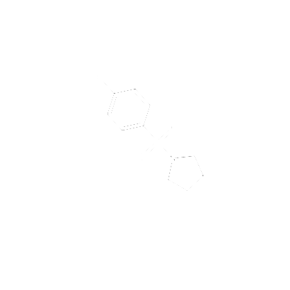 Cc1ccc(S(=O)(=O)N2CC[C@H](I)C2)cc1